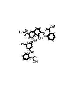 O=C(O)c1ccccc1N=Nc1ccc2cc(S(=O)(=O)O)cc(Nc3nc(O)nc(Nc4ccccc4C(=O)O)n3)c2c1O